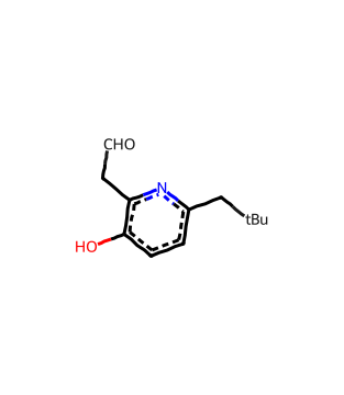 CC(C)(C)Cc1ccc(O)c(CC=O)n1